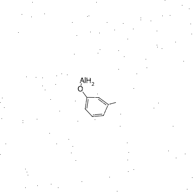 Cc1cccc([O][AlH2])c1